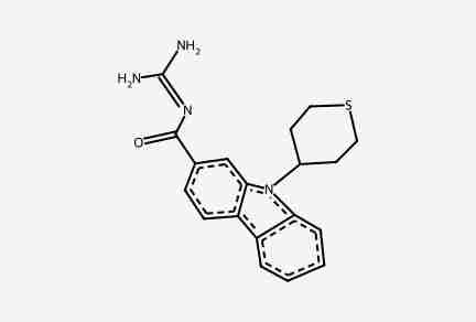 NC(N)=NC(=O)c1ccc2c3ccccc3n(C3CCSCC3)c2c1